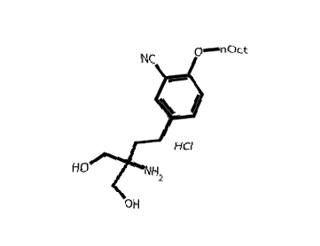 CCCCCCCCOc1ccc(CCC(N)(CO)CO)cc1C#N.Cl